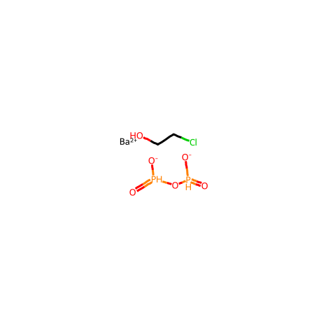 O=[PH]([O-])O[PH](=O)[O-].OCCCl.[Ba+2]